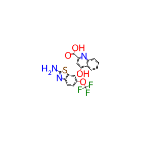 Nc1nc2ccc(OC(F)(F)F)cc2s1.O=C(O)c1cc(O)c2ccccc2n1